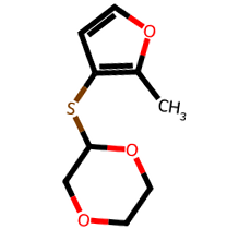 Cc1occc1SC1COCCO1